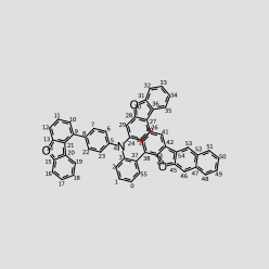 c1ccc(N(c2ccc(-c3cccc4oc5ccccc5c34)cc2)c2ccc3c(c2)oc2ccccc23)c(-c2cccc3c2oc2cc4ccccc4cc23)c1